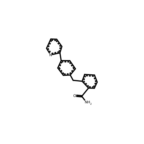 NC(=O)c1ccccc1Cc1ccc(-c2ccccn2)cc1